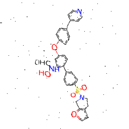 O=CNO.O=S(=O)(c1ccc(-c2ccc(Oc3ccc(-c4ccncc4)cc3)cc2)cc1)N1CCc2ccoc2C1